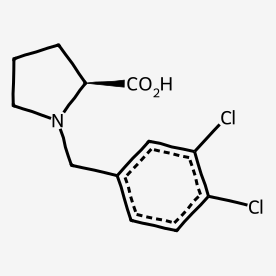 O=C(O)[C@@H]1CCCN1Cc1ccc(Cl)c(Cl)c1